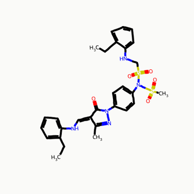 CCc1ccccc1NC=C1C(=O)N(c2ccc(N(S(C)(=O)=O)S(=O)(=O)CNc3ccccc3CC)cc2)N=C1C